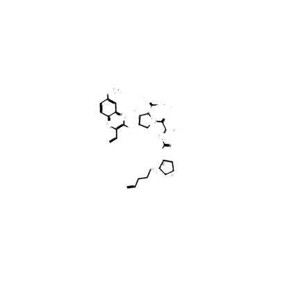 C=CCCC[C@@H]1C[C@@H](C)C[C@H]1OC(=O)N[C@H](C(=O)N1C[C@H](Oc2nc3cc(OC)ccc3nc2C=C)[C@@H](C)[C@H]1C(=O)OCC(C)C)C(C)(C)C